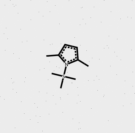 Cc1ccc(C)n1S(C)(C)C